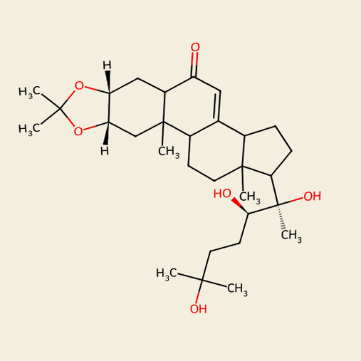 CC(C)(O)CC[C@@H](O)[C@](C)(O)C1CCC2C3=CC(=O)C4C[C@H]5OC(C)(C)O[C@H]5CC4(C)C3CCC21C